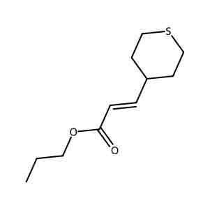 CCCOC(=O)C=CC1CCSCC1